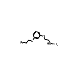 CC(C)CCOc1cccc(OCCNN)c1